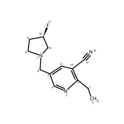 CCc1ncc(CN2CC[C@@H](F)C2)cc1C#N